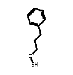 SOCCCc1ccccc1